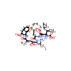 CC(C)C[C@H](NC(=O)[C@H](CC[S+](C)[O-])NC(=O)[C@@H](NC(=O)O)C(C)C)[C@@H](O)C[C@@H](C)C(=O)N[C@H]1c2ccccc2C[C@H]1O